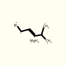 CC(C)/C=C/CBr.[MgH2]